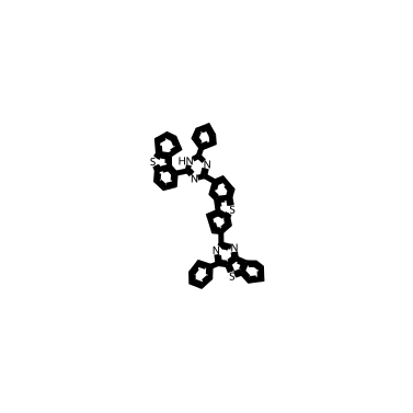 c1ccc(-c2nc(-c3ccc4c(c3)sc3ccc(C5=NC(c6ccccc6)NC(c6cccc7sc8ccccc8c67)=N5)cc34)nc3c2sc2ccccc23)cc1